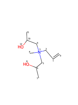 C=CC[N+](C)(CC(C)O)CC(C)O